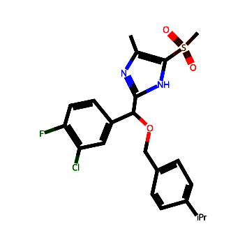 Cc1nc(C(OCc2ccc(C(C)C)cc2)c2ccc(F)c(Cl)c2)[nH]c1S(C)(=O)=O